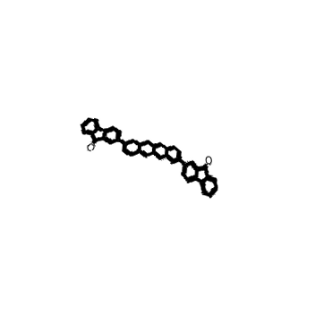 O=C1c2ccccc2-c2ccc(-c3ccc4cc5cc6cc(-c7ccc8c(c7)C(=O)c7ccccc7-8)ccc6cc5cc4c3)cc21